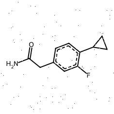 NC(=O)Cc1ccc(C2CC2)c(F)c1